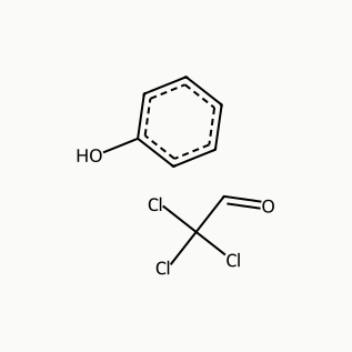 O=CC(Cl)(Cl)Cl.Oc1ccccc1